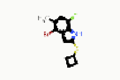 Cc1cc(F)c2[nH]c(SC3CCC3)cc2c1Br